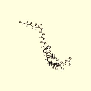 CCCCCCCCC(C)CCCCCCCCC(=O)O[C@H]1CC[C@@]2(C)C(=CC[C@H]3[C@@H]4CC[C@H]([C@H](C)CCCC(C)C)[C@@]4(C)CC[C@@H]32)C1